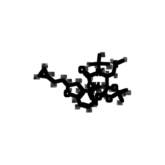 CSCC(N(C(=O)O)C(C)(C)C)[C@@]1(Cc2nccc3c2CC(CCC2CC2)O3)OC(C)(C)OC1=O